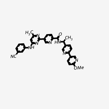 COc1ccc(-c2ccc(C(C)NC(=O)c3ccc(-c4nc(C)cc(Nc5cccc(C#N)c5)n4)cn3)cn2)cn1